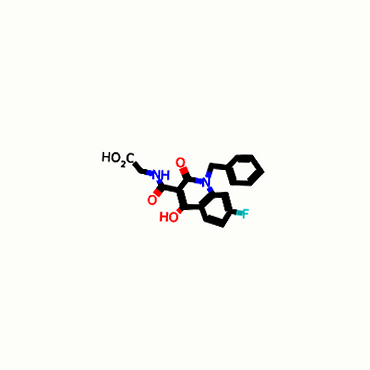 O=C(O)CNC(=O)c1c(O)c2ccc(F)cc2n(Cc2ccccc2)c1=O